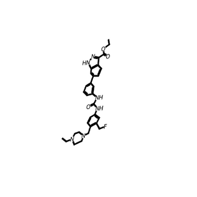 CCOC(=O)c1n[nH]c2cc(-c3cccc(NC(=O)Nc4ccc(CN5CCN(CC)CC5)c(CF)c4)c3)ccc12